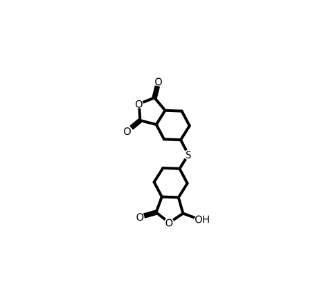 O=C1OC(=O)C2CC(SC3CCC4C(=O)OC(O)C4C3)CCC12